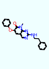 Cn1c(=O)c(Oc2ccccc2)cc2cnc(NCCc3ccccc3)nc21